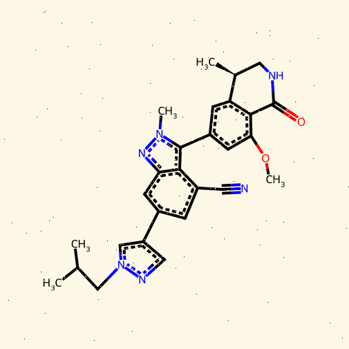 COc1cc(-c2c3c(C#N)cc(-c4cnn(CC(C)C)c4)cc3nn2C)cc2c1C(=O)NC[C@@H]2C